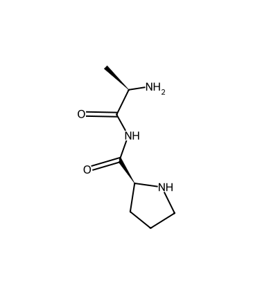 C[C@@H](N)C(=O)NC(=O)[C@@H]1CCCN1